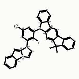 CC1(C)c2ccccc2-c2cc3c4ccccc4n(-c4cc(C(F)(F)F)cc(-n5ccn6c7ccccc7cc56)c4Cl)c3cc21